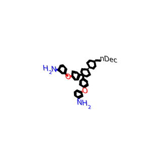 CCCCCCCCCCCC[C@H]1CC[C@@H](C2CCC(c3ccc(Oc4cccc(N)c4)cc3)(c3ccc(Oc4cccc(N)c4)cc3)CC2)CC1